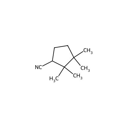 CC1(C)CCC(C#N)C1(C)C